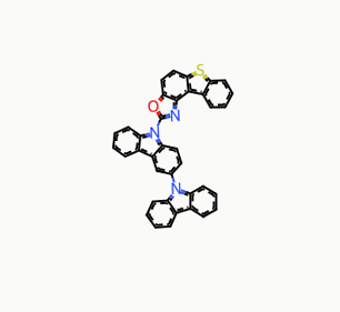 c1ccc2c(c1)sc1ccc3oc(-n4c5ccccc5c5cc(-n6c7ccccc7c7ccccc76)ccc54)nc3c12